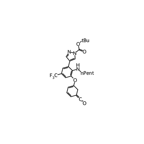 CCCCCNc1c(OC2=CC=CC(=C=O)C2)cc(C(F)(F)F)cc1-c1cnn(C(=O)OC(C)(C)C)c1